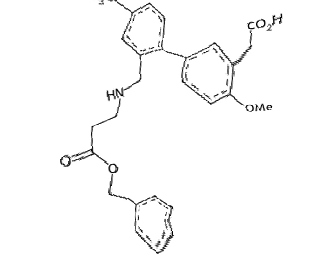 COc1ccc(-c2ccc(C(F)(F)F)cc2CNCCC(=O)OCc2ccccc2)cc1CC(=O)O